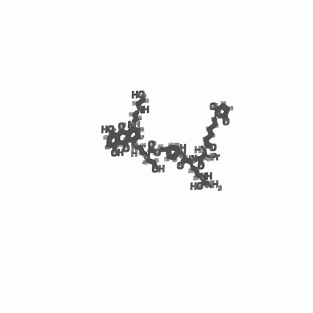 CC(C)[C@H](NC(=O)CCCCCN1C(=O)C=CC1=O)C(=O)N[C@@H](CCCNC(N)O)C(=O)Nc1ccc(COC(=O)N(CCO)CCNc2ccc(NCCNCCO)c3c2C(=O)c2c(O)ccc(O)c2C3=O)cc1